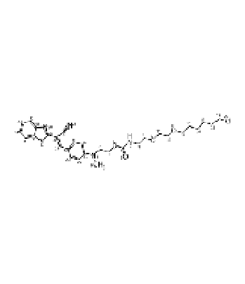 CN(CCOC(=O)NCCOCCOCCCCCCCl)c1ccc(/C=C(\C#N)c2nc3ccccc3s2)cc1